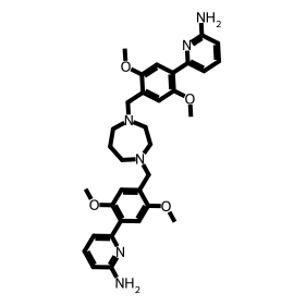 COc1cc(-c2cccc(N)n2)c(OC)cc1CN1CCCN(Cc2cc(OC)c(-c3cccc(N)n3)cc2OC)CC1